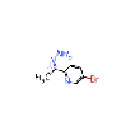 C/C(=N/N)c1ccc(Br)cn1